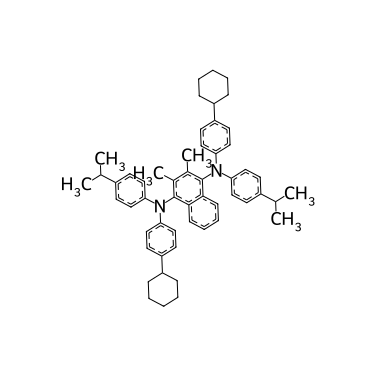 Cc1c(C)c(N(c2ccc(C(C)C)cc2)c2ccc(C3CCCCC3)cc2)c2ccccc2c1N(c1ccc(C(C)C)cc1)c1ccc(C2CCCCC2)cc1